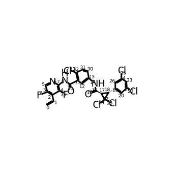 C=Cc1c(F)cnc(NC(=O)c2cc(NC(=O)[C@H]3[C@H](c4cc(Cl)cc(Cl)c4)C3(Cl)Cl)ccc2Cl)c1F